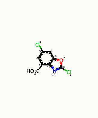 O=C(O)c1cc(Cl)cc2oc(Cl)nc12